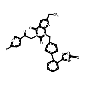 O=C(Cn1c(=O)c2cc(CC(F)(F)F)sc2n(Cc2ccc(-c3ccccc3-c3noc(=O)[nH]3)cc2)c1=O)c1ccc(F)cc1